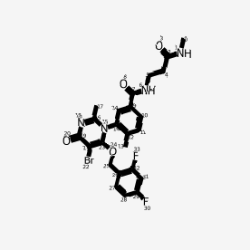 CNC(=O)CCNC(=O)c1ccc(C)c(-n2c(C)nc(=O)c(Br)c2OCc2ccc(F)cc2F)c1